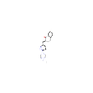 CN1CCN(c2ccc(/C=C3\CCc4ccc(Br)cc4C3=O)cn2)CC1